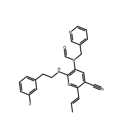 C/C=C/c1nc(NCCc2cccc(F)c2)c(N(C=O)Cc2cccnc2)cc1C#N